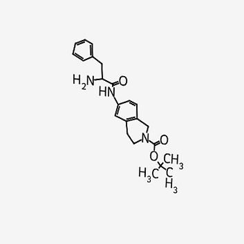 CC(C)(C)OC(=O)N1CCc2cc(NC(=O)C(N)Cc3ccccc3)ccc2C1